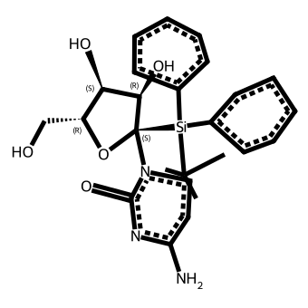 CC(C)(C)[Si](c1ccccc1)(c1ccccc1)[C@@]1(n2ccc(N)nc2=O)O[C@H](CO)[C@@H](O)[C@H]1O